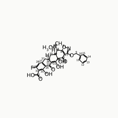 CN(C)[C@@H]1c2onc(OCc3ccccc3)c2C(=O)[C@@]2(O)C(O)=C3C(=O)c4c(cc(F)c(C(=O)O)c4O)C[C@H]3C[C@@H]12